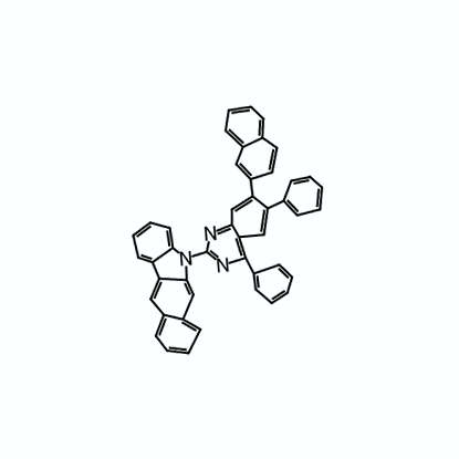 c1ccc(-c2cc3c(-c4ccccc4)nc(-n4c5ccccc5c5cc6ccccc6cc54)nc3cc2-c2ccc3ccccc3c2)cc1